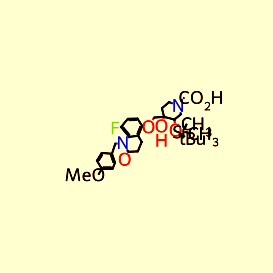 COc1ccc(CN2C(=O)CCc3c(OCC4(O)CCN(C(=O)O)CC4O[Si](C)(C)C(C)(C)C)ccc(F)c32)cc1